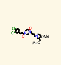 COCC1CN(CCCCN2CCN(C(=O)/C=C/c3ccc(Cl)c(Cl)c3)CCC2=O)CCC1OC